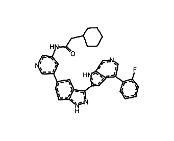 O=C(CC1CCCCC1)Nc1cncc(-c2ccc3[nH]nc(-c4cc5c(-c6ccccc6F)cncc5[nH]4)c3c2)c1